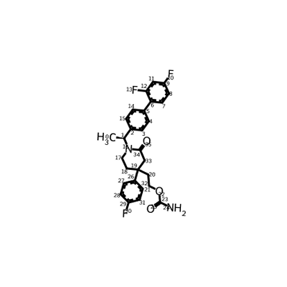 C[C@@H](c1ccc(-c2ccc(F)cc2F)cc1)N1CCC(CCOC(N)=O)(c2ccc(F)cc2)CC1=O